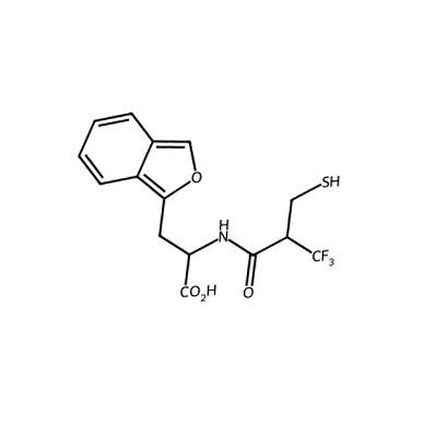 O=C(O)C(Cc1occ2ccccc12)NC(=O)C(CS)C(F)(F)F